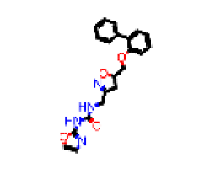 O=C(NCC1=NOC(COc2ccccc2-c2ccccc2)C1)Nc1ncco1